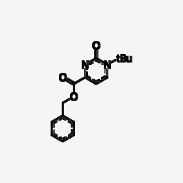 CC(C)(C)n1ccc(C(=O)OCc2ccccc2)nc1=O